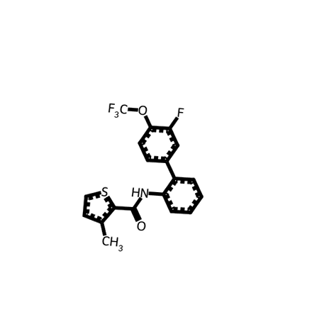 Cc1ccsc1C(=O)Nc1ccccc1-c1ccc(OC(F)(F)F)c(F)c1